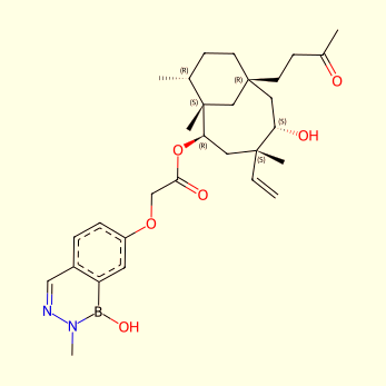 C=C[C@]1(C)C[C@@H](OC(=O)COc2ccc3c(c2)B(O)N(C)N=C3)[C@@]2(C)C[C@](CCC(C)=O)(CC[C@H]2C)C[C@@H]1O